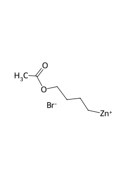 CC(=O)OCCC[CH2][Zn+].[Br-]